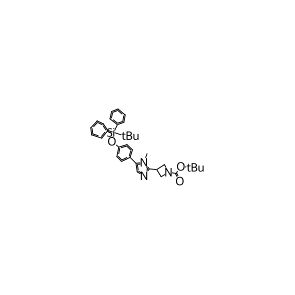 Cn1c(-c2ccc(O[Si](c3ccccc3)(c3ccccc3)C(C)(C)C)cc2)cnc1C1CN(C(=O)OC(C)(C)C)C1